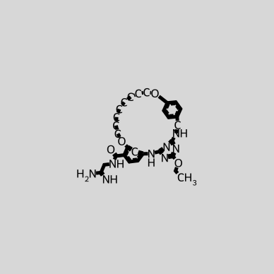 CCOc1nc2nc(n1)Nc1ccc(C(=O)NCC(=N)N)c(c1)OCCCCCCCCOc1ccc(cc1)CN2